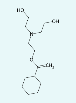 C=C(OCCN(CCO)CCO)C1CCCCC1